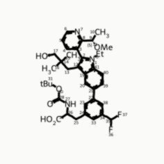 CCn1c(-c2cccnc2[C@H](C)OC)c(CC(C)(C)CO)c2cc(-c3cc(CC(NC(=O)OC(C)(C)C)C(=O)O)cc(C(F)F)c3)ccc21